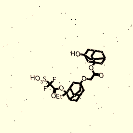 CCC1(OC(=O)C(F)(F)S(=O)(=O)O)C2CC3CC1CC(OCC(=O)OC14CC5CC(CC(O)(C5)C1)C4)(C3)C2